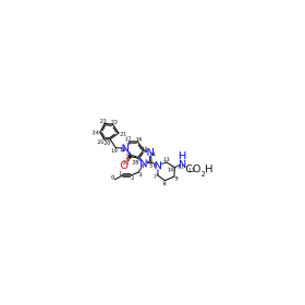 CC#CCn1c(N2CCCC(NC(=O)O)C2)nc2ccn(Cc3ccccc3)c(=O)c21